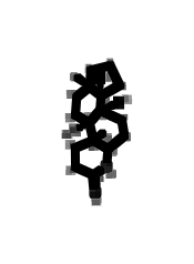 C[C@@]12CCC[C@H]1[C@@H]1CCC3OC(=O)CC[C@]3(C)[C@H]1CC2